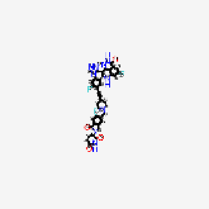 Cn1ncnc1[C@H]1c2n[nH]c(=O)c3cc(F)cc(c23)N[C@@H]1c1ccc(F)c(C#CC2CCN(Cc3cc4c(cc3F)C(=O)N(C3CCC(=O)NC3=O)C4)CC2)c1